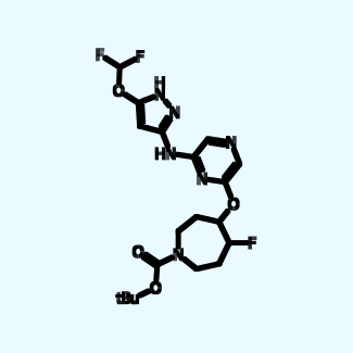 CC(C)(C)OC(=O)N1CCC(F)C(Oc2cncc(Nc3cc(OC(F)F)[nH]n3)n2)CC1